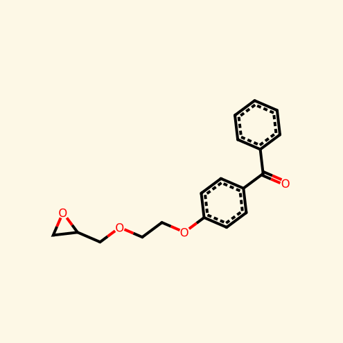 O=C(c1ccccc1)c1ccc(OCCOCC2CO2)cc1